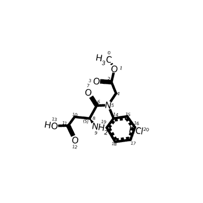 COC(=O)CN(C(=O)[C@@H](N)CC(=O)O)c1ccccc1.Cl